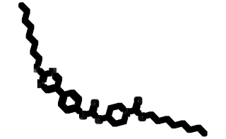 CCCCCCCCOC(=O)N1CCC(OC(=O)Oc2ccc(-c3cnc(SCCCCCCCC)nc3)cc2)CC1